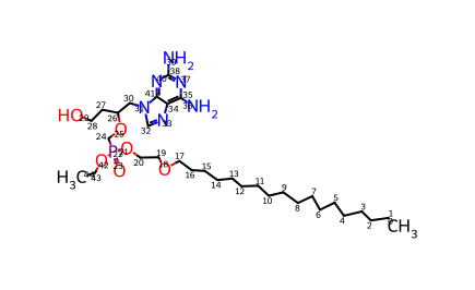 CCCCCCCCCCCCCCCCCCOCCOP(=O)(COC(CCO)Cn1cnc2c(N)nc(N)nc21)OCC